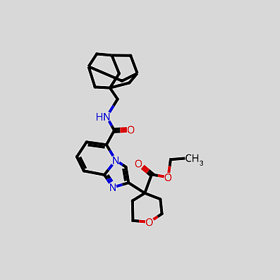 CCOC(=O)C1(c2cn3c(C(=O)NCC45CC6CC(CC(C6)C4)C5)cccc3n2)CCOCC1